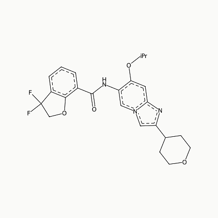 CC(C)Oc1cc2nc(C3CCOCC3)cn2cc1NC(=O)c1cccc2c1OCC2(F)F